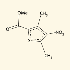 COC(=O)c1sc(C)c([N+](=O)[O-])c1C